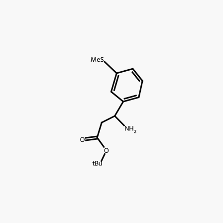 CSc1cccc(C(N)CC(=O)OC(C)(C)C)c1